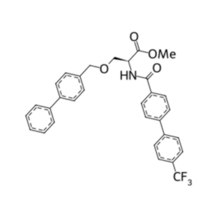 COC(=O)[C@H](COCc1ccc(-c2ccccc2)cc1)NC(=O)c1ccc(-c2ccc(C(F)(F)F)cc2)cc1